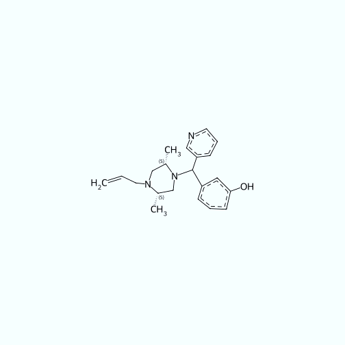 C=CCN1C[C@H](C)N(C(c2cccnc2)c2cccc(O)c2)C[C@@H]1C